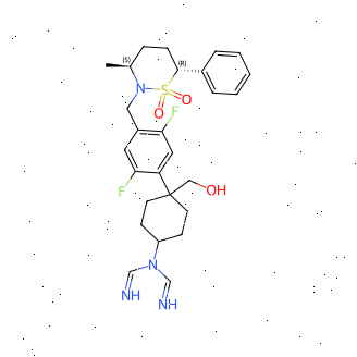 C[C@H]1CC[C@H](c2ccccc2)S(=O)(=O)N1Cc1cc(F)c(C2(CO)CCC(N(C=N)C=N)CC2)cc1F